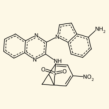 Nc1cccc2c1ccn2-c1nc2ccccc2nc1NS(=O)(=O)C12C=C([N+](=O)[O-])C=CC1C2